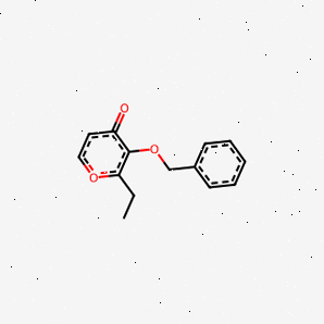 CCc1occc(=O)c1OCc1ccccc1